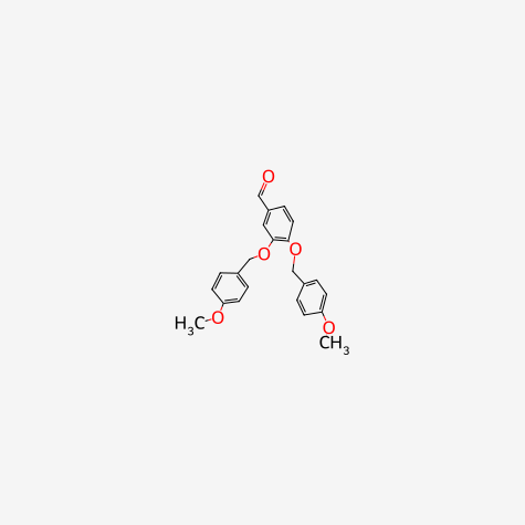 COc1ccc(COc2ccc(C=O)cc2OCc2ccc(OC)cc2)cc1